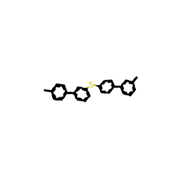 Cc1ccc(-c2cccc(Sc3ccc(-c4cccc(C)c4)cc3)c2)cc1